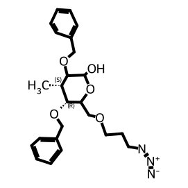 C[C@@H]1C(OCc2ccccc2)C(O)OC(COCCCN=[N+]=[N-])[C@@H]1OCc1ccccc1